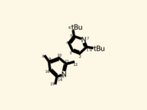 CC(C)(C)c1cccc(C(C)(C)C)n1.Cc1cc(C)nc(C)c1